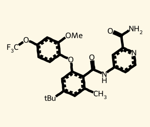 COc1cc(OC(F)(F)F)ccc1Oc1cc(C(C)(C)C)cc(C)c1C(=O)Nc1ccnc(C(N)=O)c1